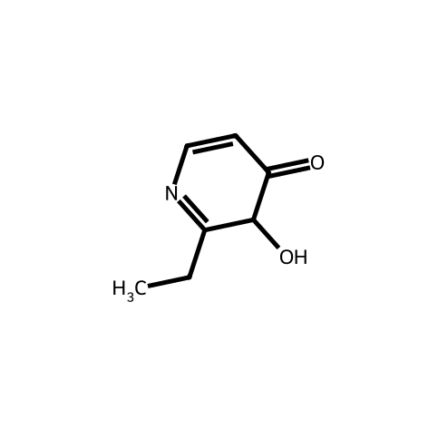 CCC1=NC=CC(=O)C1O